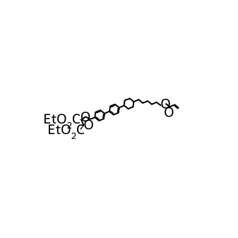 C=CC(=O)OCCCCCCC1CCC(c2ccc(-c3ccc(C4O[C@@H](C(=O)OCC)[C@H](C(=O)OCC)O4)cc3)cc2)CC1